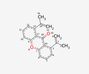 C=C(C)c1cccc2oc3cccc(C(=C)C)c3c(=O)c12